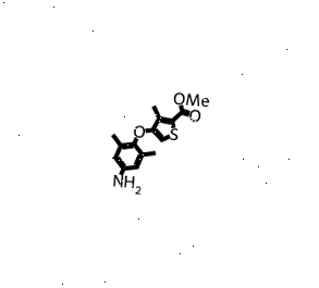 COC(=O)c1scc(Oc2c(C)cc(N)cc2C)c1C